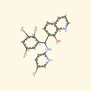 Oc1c(C(Nc2ccc(Cl)cn2)c2cc(Cl)cc(Cl)c2Cl)ccc2cccnc12